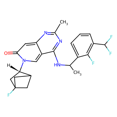 Cc1nc(NC(C)c2cccc(C(F)F)c2F)c2cn([C@H]3CC4(F)CC3C4)c(=O)cc2n1